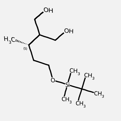 C[C@@H](CCO[Si](C)(C)C(C)(C)C)C(CO)CO